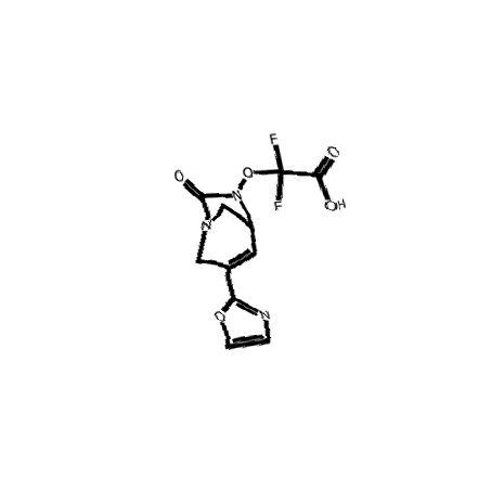 O=C1N2CC(c3ncco3)=CC(C2)N1OC(F)(F)C(=O)O